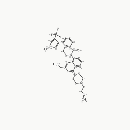 CCc1cc(N2CCN(CCOC)CC2)c2nccc(N3CCc4c(cccc4-c4cn(C)nc4C(F)(F)F)C3=O)c2c1